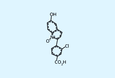 O=C(O)c1ccc(-c2ccc3cc(O)ccc3[n+]2[O-])c(Cl)c1